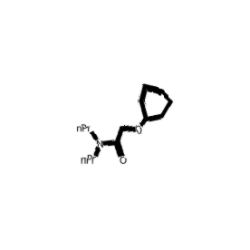 CCCN(CCC)C(=O)COC1CC=CCC1